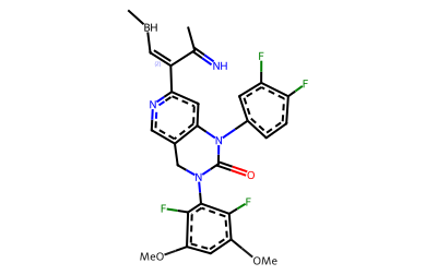 CB/C=C(\C(C)=N)c1cc2c(cn1)CN(c1c(F)c(OC)cc(OC)c1F)C(=O)N2c1ccc(F)c(F)c1